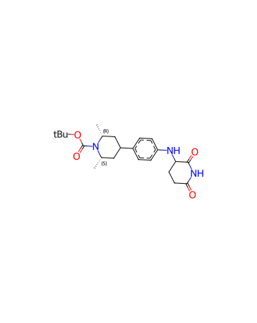 C[C@@H]1CC(c2ccc(NC3CCC(=O)NC3=O)cc2)C[C@H](C)N1C(=O)OC(C)(C)C